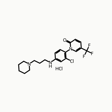 Cl.O=c1ccc(C(F)(F)F)cn1-c1ccc(NCCCN2CCCCC2)cc1Cl